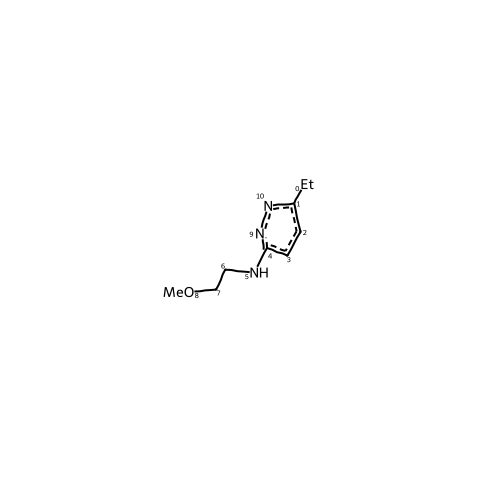 CCc1ccc(NCCOC)nn1